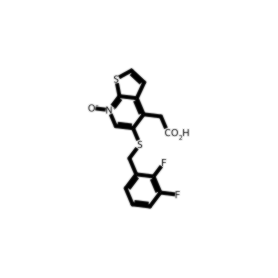 O=C(O)Cc1c(SCc2cccc(F)c2F)c[n+]([O-])c2sccc12